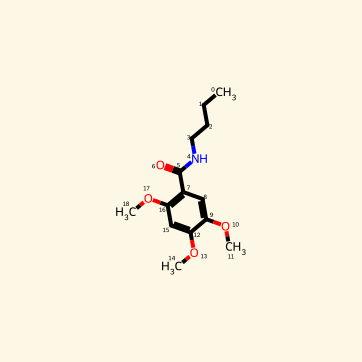 CCCCNC(=O)c1cc(OC)c(OC)cc1OC